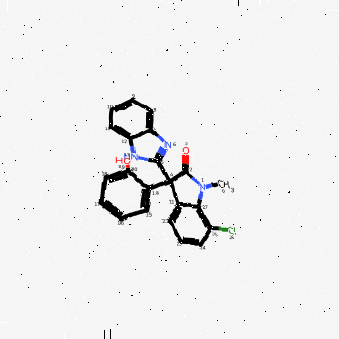 CN1C(=O)C(c2nc3ccccc3[nH]2)(c2ccccc2O)c2cccc(Cl)c21